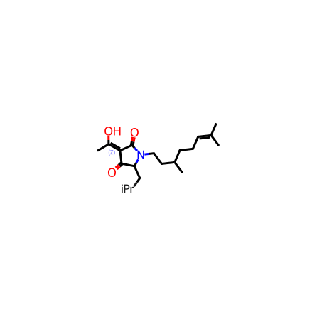 CC(C)=CCCC(C)CCN1C(=O)/C(=C(/C)O)C(=O)C1CC(C)C